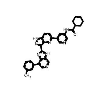 Cc1cccc(-c2cncc3[nH]c(-c4n[nH]c5ccc(-c6cncc(NC(=O)C7CCCCC7)c6)nc45)nc23)c1